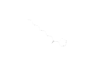 O=C(CCCNCCOS)N1CCCC1